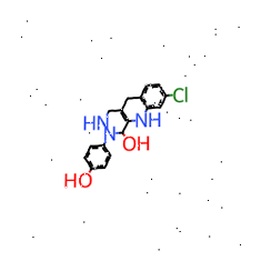 Oc1ccc(N2NCC3=C(Nc4cc(Cl)ccc4C3)C2O)cc1